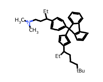 CCC(CCCC(C)(C)C)C1=C=C(C2(c3ccc(C(CC)CCN(C)C)cc3)C3=C(C=C=C3)c3ccccc32)C=C1